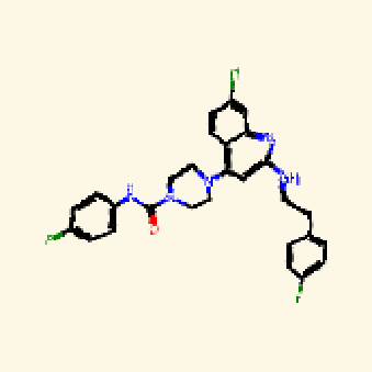 O=C(Nc1ccc(F)cc1)N1CCN(c2cc(NCCc3ccc(F)cc3)nc3cc(Cl)ccc23)CC1